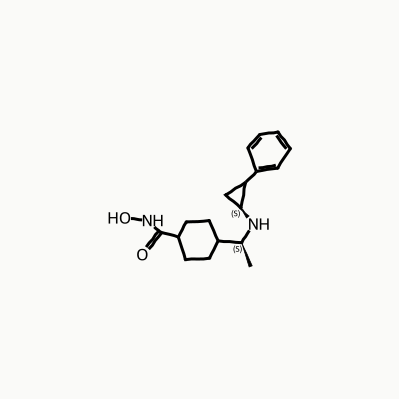 C[C@H](N[C@H]1CC1c1ccccc1)C1CCC(C(=O)NO)CC1